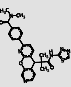 CN(C)C(=O)c1ccc(-c2ccc3c(n2)Oc2cnccc2C3C(C)(C)C(=O)Nc2nncs2)cc1